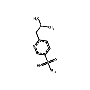 CN(C)Cc1ccc(S(=N)(N)=O)cn1